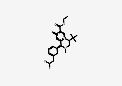 CCOC(=O)c1cn2c(cc1=O)/C(=C1\C=CC=C(CC(F)F)C1)N(C)CC2C(C)(C)C